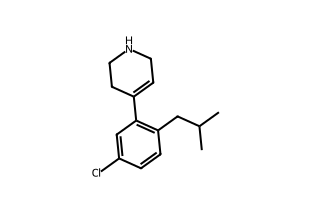 CC(C)Cc1ccc(Cl)cc1C1=CCNCC1